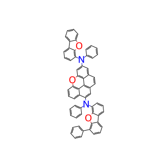 c1ccc(-c2cccc3c2oc2c(N(c4ccccc4)c4cc5ccc6cc(N(c7ccccc7)c7cccc8c7oc7ccccc78)cc7c6c5c5c(cccc45)O7)cccc23)cc1